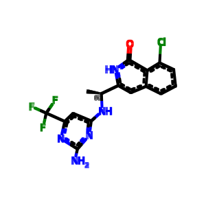 C[C@H](Nc1cc(C(F)(F)F)nc(N)n1)c1cc2cccc(Cl)c2c(=O)[nH]1